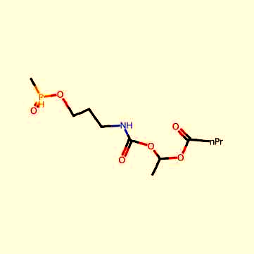 CCCC(=O)OC(C)OC(=O)NCCCO[PH](C)=O